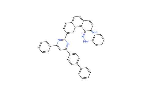 N=C1C=Cc2ccc3ccc(-c4nc(-c5ccccc5)cc(-c5ccc(-c6ccccc6)cc5)n4)cc3c2/C1=N/Nc1ccccc1